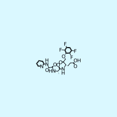 C[C@H](NC(=O)C(=O)Nc1ccccn1)C(=O)N[C@@H](CCC(=O)O)C(=O)COc1c(F)c(F)cc(F)c1F